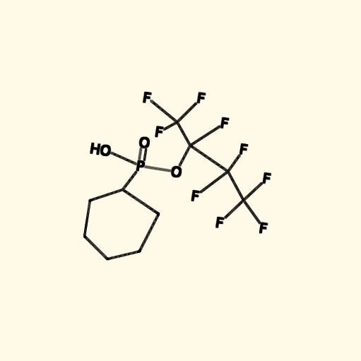 O=P(O)(OC(F)(C(F)(F)F)C(F)(F)C(F)(F)F)C1CCCCC1